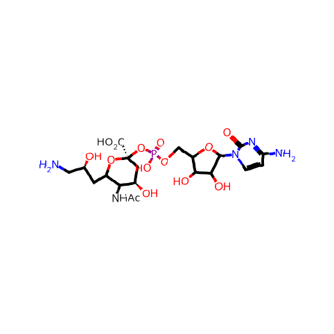 CC(=O)NC1C(C[C@H](O)CN)O[C@](OP(=O)(O)OCC2OC(n3ccc(N)nc3=O)C(O)C2O)(C(=O)O)C[C@H]1O